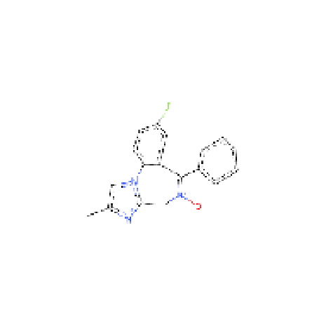 Cc1cn2c(n1)C[N+]([O-])=C(c1ccccc1)c1cc(F)ccc1-2